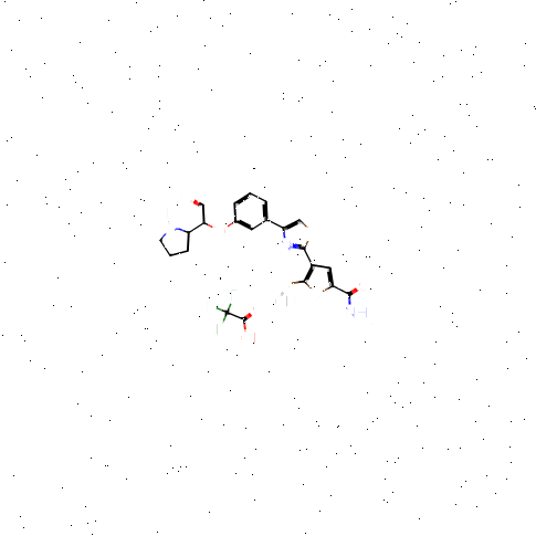 CSc1sc(C(N)=O)cc1-c1nc(-c2cccc(OC(C=O)C3CCCN3)c2)cs1.O=C(O)C(F)(F)F